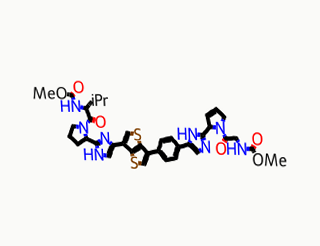 COC(=O)NCC(=O)N1CC=CC1c1ncc(-c2ccc(-c3csc4c(-c5c[nH]c(C6CCCN6C(=O)C(NC(=O)OC)C(C)C)n5)csc34)cc2)[nH]1